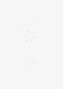 CCCc1c(OCCCN2C(=O)NCC(C)C2=O)ccc2c(C(F)(F)F)noc12